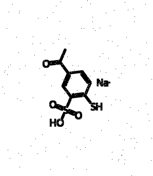 CC(=O)c1ccc(S)c(S(=O)(=O)O)c1.[Na]